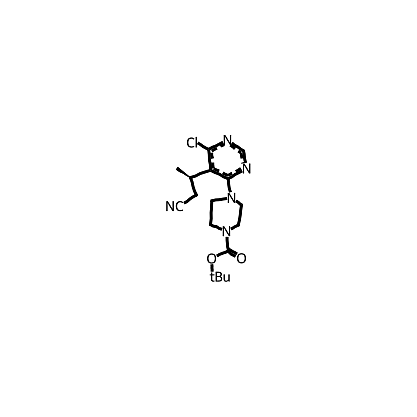 C[C@H](CC#N)c1c(Cl)ncnc1N1CCN(C(=O)OC(C)(C)C)CC1